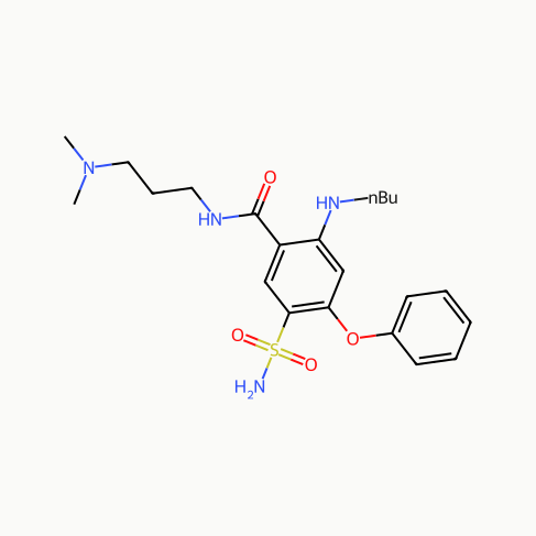 CCCCNc1cc(Oc2ccccc2)c(S(N)(=O)=O)cc1C(=O)NCCCN(C)C